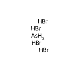 Br.Br.Br.Br.[AsH3]